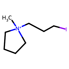 C[N+]1(CCCI)CCCC1